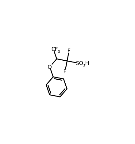 O=S(=O)(O)C(F)(F)C(Oc1ccccc1)C(F)(F)F